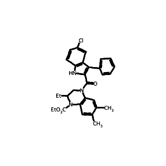 CCOC(=O)N1c2cc(C)c(C)cc2N(C(=O)c2[nH]c3ccc(Cl)cc3c2-c2ccccc2)CC1CC